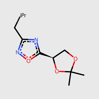 CC(C)Cc1noc([C@H]2COC(C)(C)O2)n1